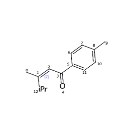 C/C(=C/C(=O)c1ccc(C)cc1)C(C)C